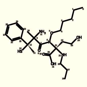 CCCCCON(C(=O)C(C)(N)[C@@](C)(S)c1ccccc1)[C@@](CCO)(NCCC)C(=O)O